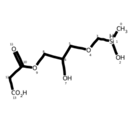 C[SiH](O)COCC(O)COC(=O)CC(=O)O